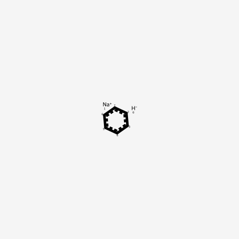 [H-].[Na+].c1ccccc1